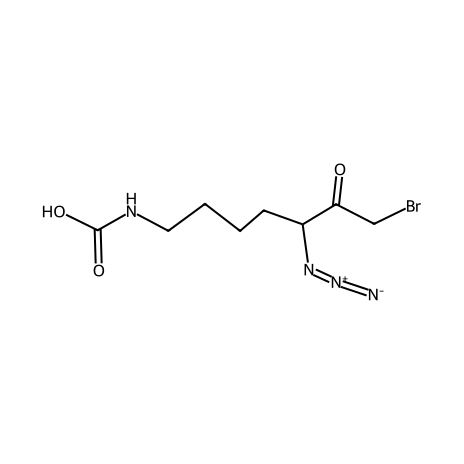 [N-]=[N+]=NC(CCCCNC(=O)O)C(=O)CBr